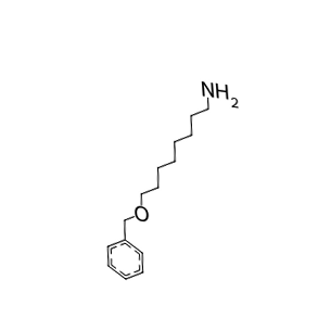 NCCCCCCCCOCc1ccccc1